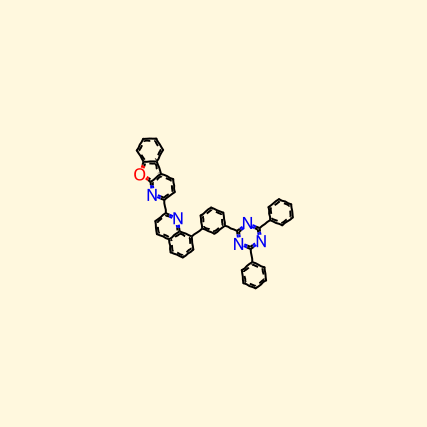 c1ccc(-c2nc(-c3ccccc3)nc(-c3cccc(-c4cccc5ccc(-c6ccc7c(n6)oc6ccccc67)nc45)c3)n2)cc1